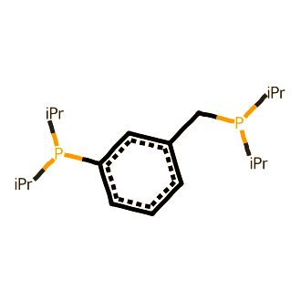 CC(C)P(Cc1cccc(P(C(C)C)C(C)C)c1)C(C)C